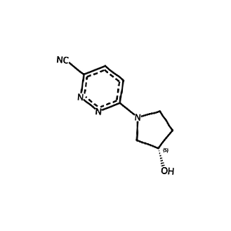 N#Cc1ccc(N2CC[C@H](O)C2)nn1